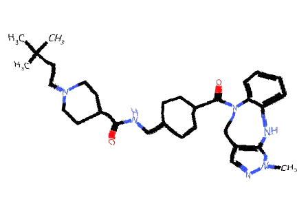 Cn1ncc2c1Nc1ccccc1N(C(=O)C1CCC(CNC(=O)C3CCN(CCC(C)(C)C)CC3)CC1)C2